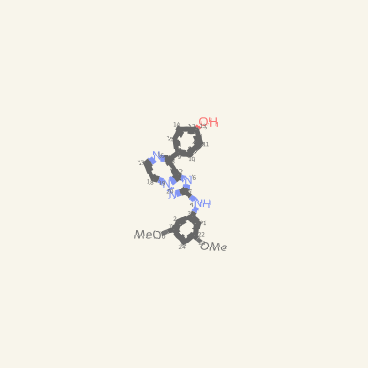 COc1cc(Nc2nc3c(-c4ccc(O)cc4)nccn3n2)cc(OC)c1